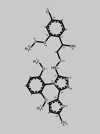 COc1cccc(OC)c1-n1c(NSCC(O)c2ccc(Cl)cc2OSC)nnc1-c1ccc(C)o1